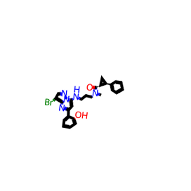 CN(CCCNc1cc(-c2ccccc2O)nc2c(Br)cnn12)C(=O)[C@@H]1C[C@H]1c1ccccc1